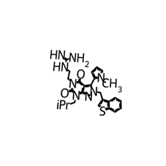 CC(C)Cn1c(=O)n(CCNC(=N)N)c(=O)c2c(-c3cccn3C)n(Cc3csc4ccccc34)nc21